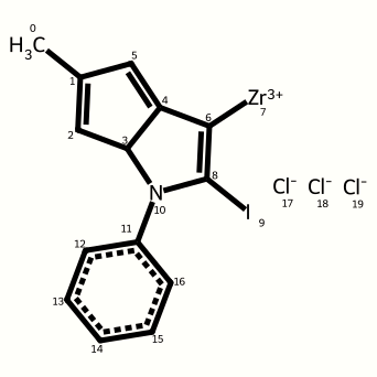 CC1=CC2C(=C1)[C]([Zr+3])=C(I)N2c1ccccc1.[Cl-].[Cl-].[Cl-]